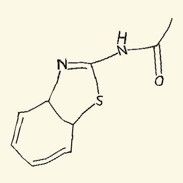 CC(=O)NC1=NC2C=CC=CC2S1